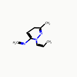 C=NC1=CCC(C)=NN1/C=C\C